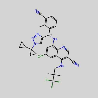 Cc1c(C#N)cccc1[C@H](Nc1cc(Cl)cc2c(NCC(C)(C)C(F)(F)F)c(C#N)cnc12)c1cn(C2(C3CC3)CC2)nn1